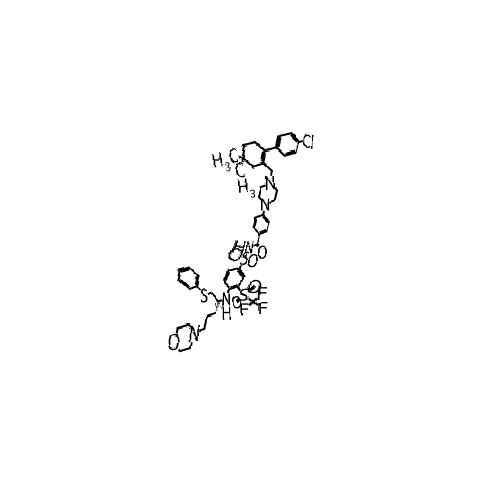 CC1(C)CCC(c2ccc(Cl)cc2)=C(CN2CCN(c3ccc(C(=O)NS(=O)(=O)c4ccc(N[C@H](CCCN5CCOCC5)CSc5ccccc5)c(S(=O)(=O)C(F)(F)F)c4)cc3)CC2)C1